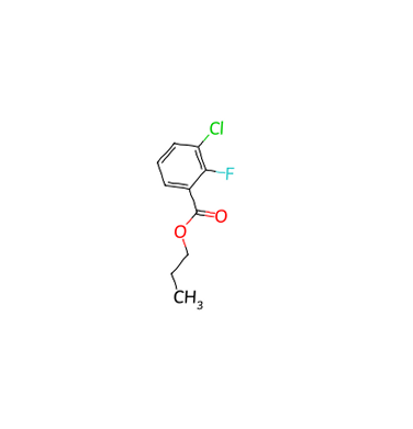 CCCOC(=O)c1cccc(Cl)c1F